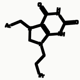 CC(=O)CN1CN(CCC(C)C)c2[nH]c(=O)[nH]c(=O)c21